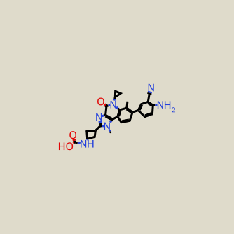 Cc1c(-c2ccc(N)c(C#N)c2)ccc2c3c(nc(C4CC(NC(=O)O)C4)n3C)c(=O)n(C3CC3)c12